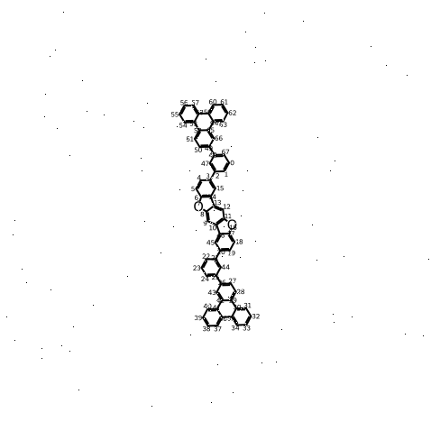 c1cc(-c2ccc3oc4cc5c(cc4c3c2)oc2ccc(-c3cccc(-c4ccc6c7ccccc7c7ccccc7c6c4)c3)cc25)cc(-c2ccc3c4ccccc4c4ccccc4c3c2)c1